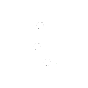 OB(Oc1ccc(Br)cc1)Oc1ccc(COCc2ccccc2)cc1